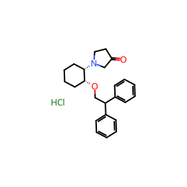 Cl.O=C1CCN([C@H]2CCCC[C@H]2OCC(c2ccccc2)c2ccccc2)C1